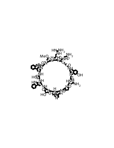 CCCC[C@H]1C(=O)N(C)[C@@H](CCOC)C(=O)N[C@@H](CCCNC(=N)N)C(=O)NC(C(=O)NCC(N)=O)CSCC(=O)N[C@@H](Cc2ccc(O)cc2)C(=O)N(C)[C@@H](C)C(=O)N[C@@H](CC(N)=O)C(=O)N2CCC[C@H]2C(=O)N[C@@H](Cc2cnc[nH]2)C(=O)N[C@@H](CC(C)C)C(=O)N2C[C@H](O)CC2C(=O)N[C@@H](Cc2c[nH]c3ccccc23)C(=O)N[C@@H](CO)C(=O)N[C@@H](Cc2c[nH]c3ccccc23)C(=O)N1C